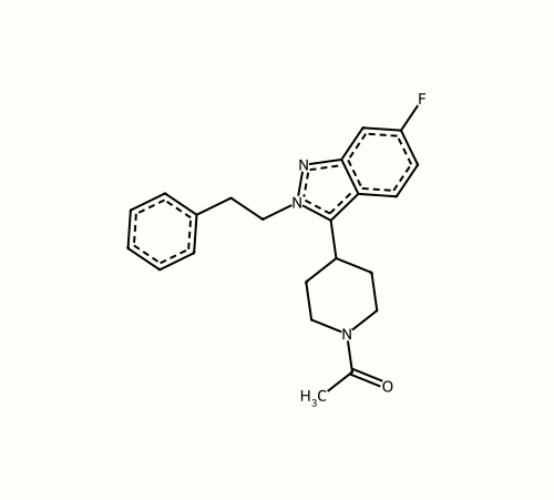 CC(=O)N1CCC(c2c3ccc(F)cc3nn2CCc2ccccc2)CC1